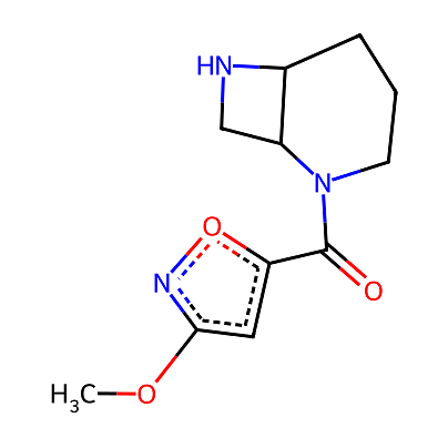 COc1cc(C(=O)N2CCCC3NCC32)on1